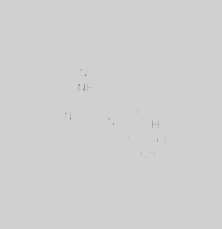 CC(C)(C)OC(=O)N1CCC(N2CCCC2c2ccn[nH]2)CC1